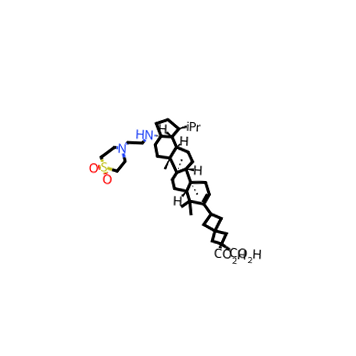 CC(C)[C@@H]1CC[C@]2(NCCN3CCS(=O)(=O)CC3)CC[C@]3(C)[C@H](CC[C@@H]4[C@@]5(C)CC=C(C6CC7(C6)CC(C(=O)O)(C(=O)O)C7)C(C)(C)[C@@H]5CC[C@]43C)[C@@H]12